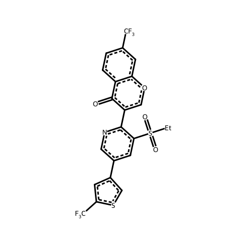 CCS(=O)(=O)c1cc(-c2csc(C(F)(F)F)c2)cnc1-c1coc2cc(C(F)(F)F)ccc2c1=O